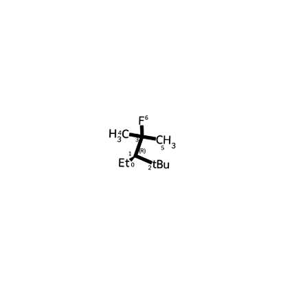 CC[C@H](C(C)(C)C)C(C)(C)F